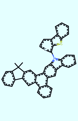 CC1(C)c2ccccc2-c2cc3c4ccccc4c4cc5c6ccccc6n(-c6cccc7c6sc6ccccc67)c5cc4c3cc21